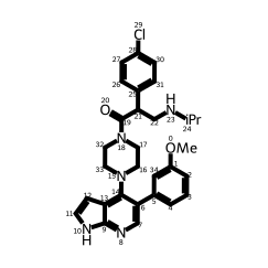 COc1cccc(-c2cnc3[nH]ccc3c2N2CCN(C(=O)C(CNC(C)C)c3ccc(Cl)cc3)CC2)c1